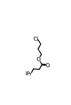 CC(C)CCC(=O)OCCCCl